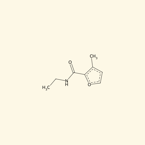 CCNC(=O)c1occc1C